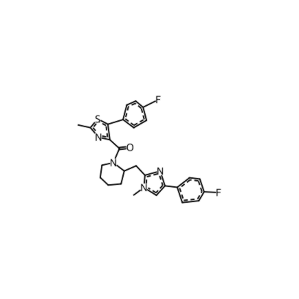 Cc1nc(C(=O)N2CCCCC2Cc2nc(-c3ccc(F)cc3)cn2C)c(-c2ccc(F)cc2)s1